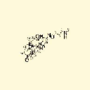 CNCCCON=C1CC[C@]2(C)[C@@H]3CC[C@]4(C)C(=O)CC[C@H]4[C@@H]3C(C)CC2(O)C1